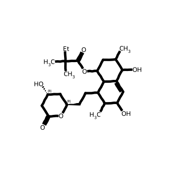 CCC(C)(C)C(=O)OC1CC(C)C(O)C2=CC(O)C(C)C(CC[C@@H]3C[C@@H](O)CC(=O)O3)C21